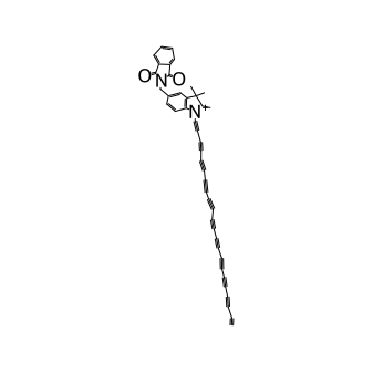 C#CC#CC#CC#CC#CC#CC#CC#CC#CC#CC#C[N+]1=C(C)C(C)(C)c2cc(CN3C(=O)c4ccccc4C3=O)ccc21